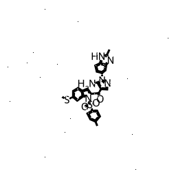 CSc1ccc2cc(C(=O)c3cnn(-c4ccc5[nH]c(C)nc5c4)c3N)n(S(=O)(=O)c3ccc(C)cc3)c2c1